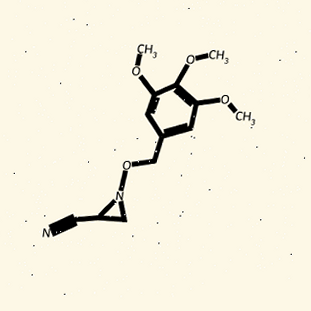 COc1cc(CON2CC2C#N)cc(OC)c1OC